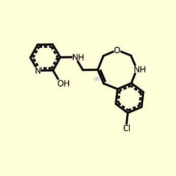 Oc1ncccc1NC/C1=C/c2cc(Cl)ccc2NCOC1